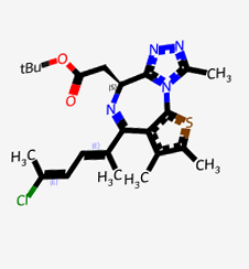 C/C(Cl)=C\C=C(/C)C1=N[C@@H](CC(=O)OC(C)(C)C)c2nnc(C)n2-c2sc(C)c(C)c21